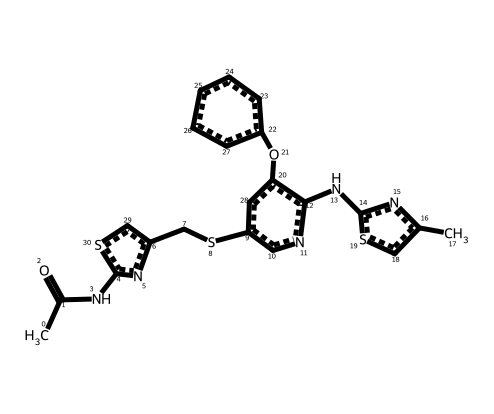 CC(=O)Nc1nc(CSc2cnc(Nc3nc(C)cs3)c(Oc3ccccc3)c2)cs1